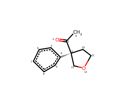 CC(=O)[C@@]1(c2ccccc2)CCOC1